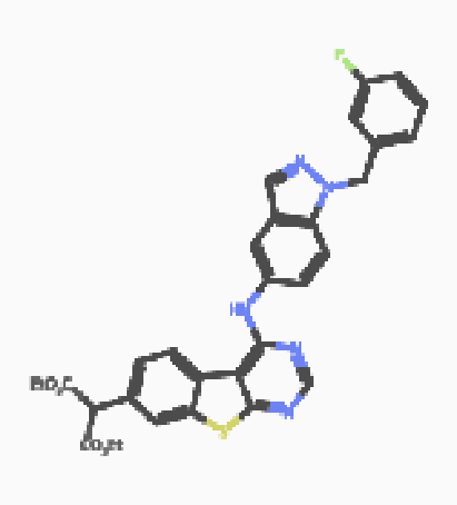 CCOC(=O)C(C(=O)OCC)c1ccc2c(c1)sc1ncnc(Nc3ccc4c(cnn4Cc4cccc(F)c4)c3)c12